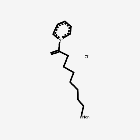 C=C(CCCCCCCCCCCCCCCC)[n+]1ccccc1.[Cl-]